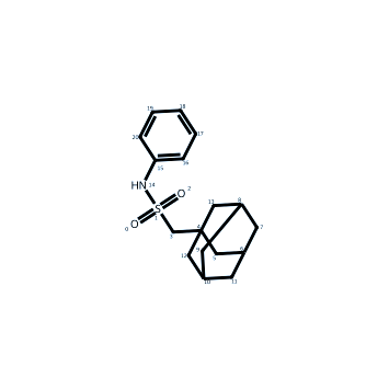 O=S(=O)(CC12CC3CC(CC(C3)C1)C2)Nc1ccccc1